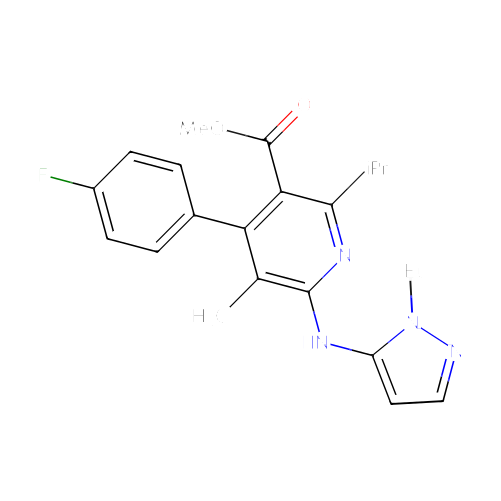 CCn1nccc1Nc1nc(C(C)C)c(C(=O)OC)c(-c2ccc(F)cc2)c1C